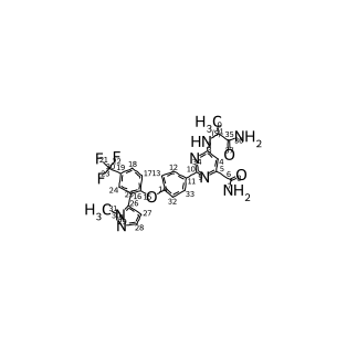 C[C@H](Nc1cc(C(N)=O)nc(-c2ccc(Oc3ccc(C(F)(F)F)cc3-c3ccnn3C)cc2)n1)C(N)=O